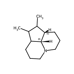 CC1C2CCCN3CCC[C@@H](C1C)[C@@H]23